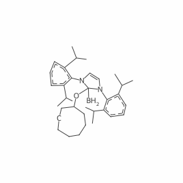 BC1(OC2CCCCCCC2)N(c2c(C(C)C)cccc2C(C)C)C=CN1c1c(C(C)C)cccc1C(C)C